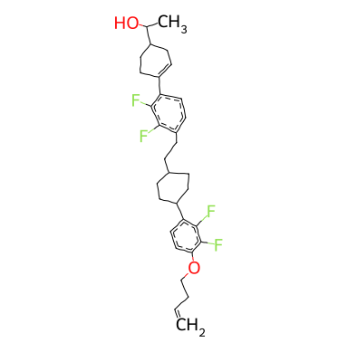 C=CCCOc1ccc(C2CCC(CCc3ccc(C4=CCC(C(C)O)CC4)c(F)c3F)CC2)c(F)c1F